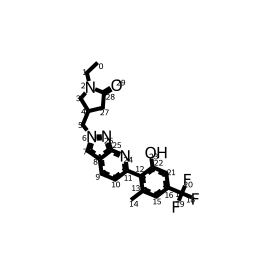 CCN1CC(Cn2cc3ccc(-c4c(C)cc(C(F)(F)F)cc4O)nc3n2)CC1=O